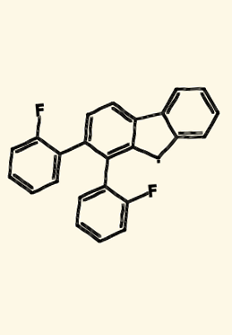 Fc1ccccc1-c1ccc2c(c1-c1ccccc1F)[CH]c1ccccc1-2